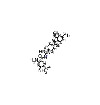 Nc1nc(N)c(C(=O)/N=C2\NCC3(CCN(S(=O)(=O)c4ccc(CI)c5nonc45)CC3)N2)nc1CI